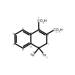 [2H]C1([2H])CC(C(=O)O)=C(C(=O)O)c2ccccc21